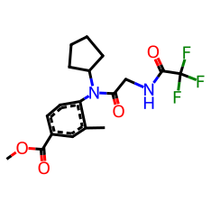 COC(=O)c1ccc(N(C(=O)CNC(=O)C(F)(F)F)C2CCCC2)c(C)c1